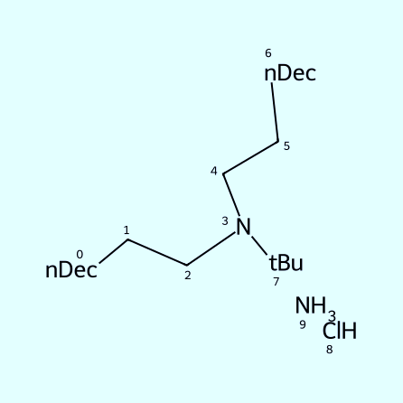 CCCCCCCCCCCCN(CCCCCCCCCCCC)C(C)(C)C.Cl.N